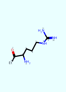 CCC(=O)C(N)CCCNC(=N)N